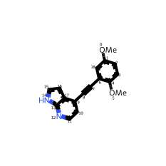 COc1ccc(OC)c(C#Cc2ccnc3[nH]ccc23)c1